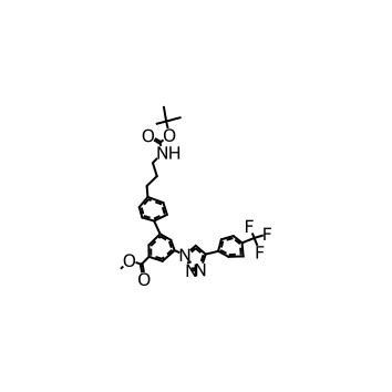 COC(=O)c1cc(-c2ccc(CCCNC(=O)OC(C)(C)C)cc2)cc(-n2cc(-c3ccc(C(F)(F)F)cc3)nn2)c1